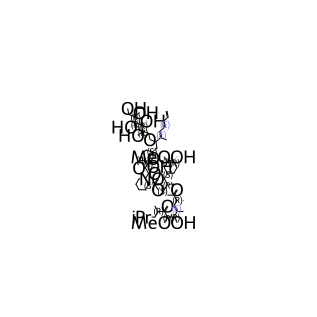 C=C/C=C/C=C(\C)C(C[C@@H]1CC[C@@H](C)[C@](O)(C(=O)C(=O)N2CCCC[C@H]2C(=O)O[C@@H](CC(=O)[C@H](C)/C=C(\C)[C@@H](O)[C@@H](OC)C(=O)[C@H](C)CC(C)C)[C@H](C)C[C@@H]2CC[C@@H](O)[C@H](OC)C2)O1)OC[C@@H](O)[C@@H](O)[C@H](O)[C@H](O)CO